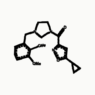 COc1cccc(CN2CCN(C(=O)c3cc(C4CC4)on3)C2)c1OC